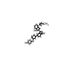 Cc1ccc(-c2nccc3[nH]c(-c4n[nH]c5ccc(-c6cncc(OC7CCNCC7)c6)nc45)cc23)s1